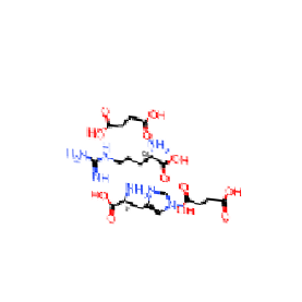 N=C(N)NCCC[C@H](N)C(=O)O.N[C@@H](Cc1c[nH]cn1)C(=O)O.O=C(O)CCC(=O)O.O=C(O)CCC(=O)O